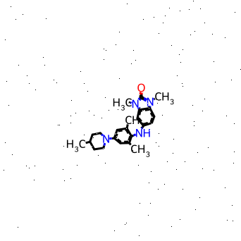 Cc1cc(N2CCC(C)CC2)cc(C)c1Nc1ccc2c(c1)n(C)c(=O)n2C